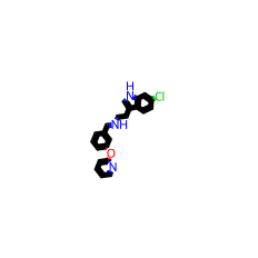 Clc1ccc2c(CCNCc3cccc(Oc4ccccn4)c3)c[nH]c2c1